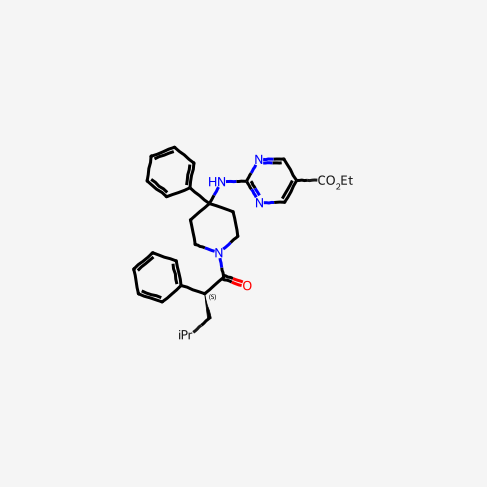 CCOC(=O)c1cnc(NC2(c3ccccc3)CCN(C(=O)[C@@H](CC(C)C)c3ccccc3)CC2)nc1